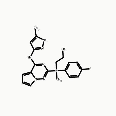 Cc1cc(Nc2nc(S(C)(CCO)c3ccc(F)cc3)nn3cccc23)n[nH]1